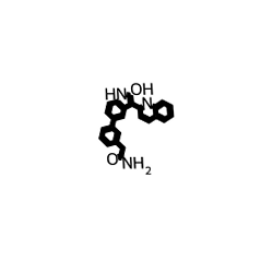 NC(=O)Cc1cccc(-c2ccc3[nH]c(O)c(-c4ccc5ccccc5n4)c3c2)c1